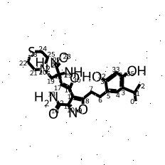 CC(C)c1cc(CCc2onc(C(N)=O)c2C2=CC(CN3CCSCC3)(C(N)=O)NO2)c(O)cc1O